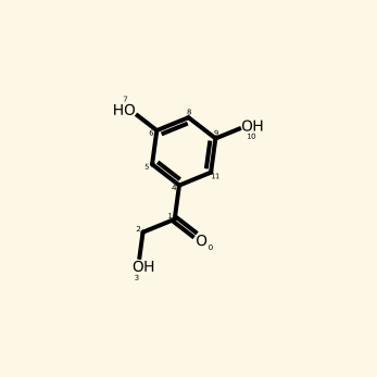 O=C(CO)c1cc(O)cc(O)c1